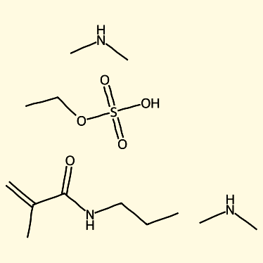 C=C(C)C(=O)NCCC.CCOS(=O)(=O)O.CNC.CNC